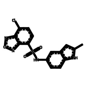 Cc1cc2cc(NS(=O)(=O)c3ccc(Cl)c4nonc34)ccc2[nH]1